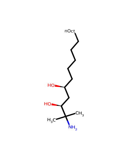 CCCCCCCCCCCCC[C@H](O)C[C@H](O)C(C)(C)N